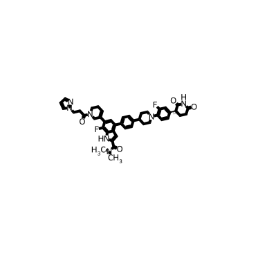 CN(C)C(=O)c1cc2c(-c3ccc(C4CCN(c5ccc([C@@H]6CCC(=O)NC6=O)cc5F)CC4)cc3)cc(C3=CCCN(C(=O)CCn4cccn4)C3)c(F)c2[nH]1